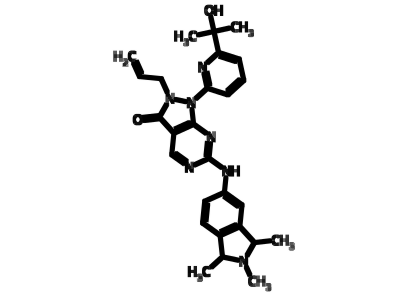 C=CCn1c(=O)c2cnc(Nc3ccc4c(c3)C(C)N(C)C4C)nc2n1-c1cccc(C(C)(C)O)n1